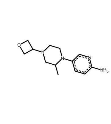 CC1CN(C2COC2)CCN1c1ccc(N)nc1